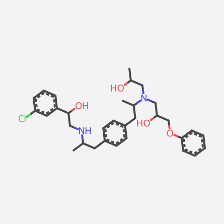 CC(O)CN(CC(O)COc1ccccc1)C(C)Cc1ccc(CC(C)NCC(O)c2cccc(Cl)c2)cc1